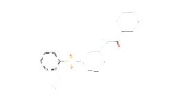 NCc1ccccc1S(=O)(=O)N1CCC[C@H](NC(=O)C2CCCCC2)C1